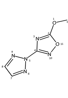 COc1nc(-n2nccn2)no1